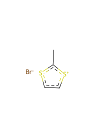 Cc1scc[s+]1.[Br-]